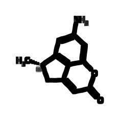 C[C@H]1Cc2cc(=O)oc3cc(N)cc1c23